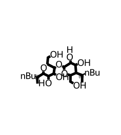 CCCC[C@@H](C)C1OC(CO)C(OC2OC(CO)C([C@H](C)CCCC)C(O)C2O)C(O)C1O